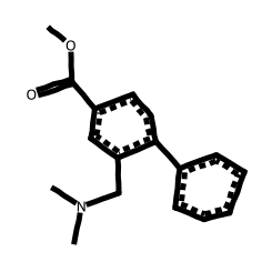 COC(=O)c1ccc(-c2ccccc2)c(CN(C)C)c1